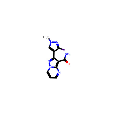 Cn1cc(-c2nn3cccnc3c2C(N)=O)c(I)n1